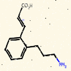 NCCCc1ccccc1/C=C/C(=O)O